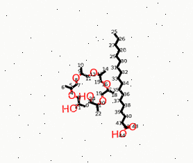 CC(O)COC(C)COC(C)COC(C)COC(C)COC(C)CO.CCCCCCCCCCCCCCCCCC(=O)O